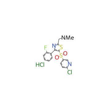 CNCc1nc(-c2ccccc2F)c(S(=O)(=O)c2ccc(Cl)nc2)s1.Cl